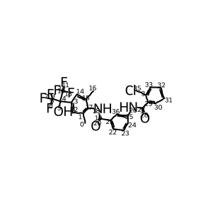 Cc1cc(C(O)(C(F)(F)F)C(F)(F)F)cc(C)c1NC(=O)c1cccc(NC(=O)c2ccccc2Cl)c1